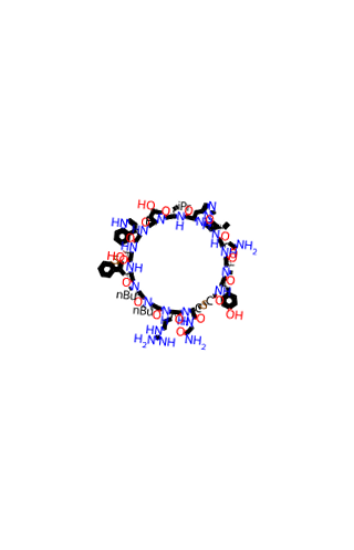 C=C[C@H]1C[C@]12NC(=O)[C@H](CC(N)=O)NC(=O)[C@H](C)N(C)C(=O)[C@H](Cc1ccc(O)cc1)NC(=O)CSCC(C(=O)NCC(N)=O)NC(=O)[C@H](CCCNC(=N)N)NC(=O)[C@H](CCCC)N(C)C(=O)[C@H](CCCC)N(C)C(=O)[C@H](Cc1csc3ccccc13)NC(=O)[C@H](CO)NC(=O)C([C@H]1C=CNc3ccccc31)NC(=O)[C@@H]1C[C@@H](O)CN1C(=O)[C@H](CC(C)C)NC(=O)C(Cc1cnc[nH]1)NC2=O